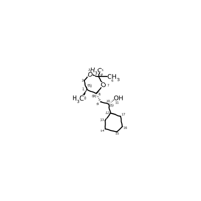 C[C@H]1COC(C)(C)O[C@@H]1C[C@H](O)C1CCCCC1